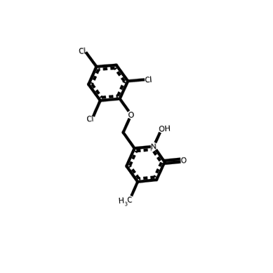 Cc1cc(COc2c(Cl)cc(Cl)cc2Cl)n(O)c(=O)c1